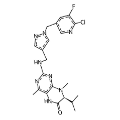 Cc1nc(NCc2cnn(Cc3cnc(Cl)c(F)c3)c2)nc2c1NC(=O)[C@H](C(C)C)N2C